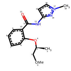 COC[C@H](C)Oc1ccccc1C(=O)Nc1ccn(C)n1